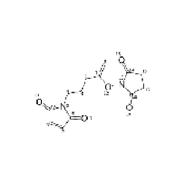 C=C(CCCN1C(=O)C=CC1=O)ON1C(=O)CCC1=O